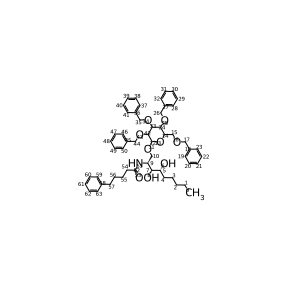 CCCCC[C@@H](O)[C@@H](O)[C@H](COC1OC(COCc2ccccc2)C(OCc2ccccc2)C(OCc2ccccc2)C1OCc1ccccc1)NC(=O)CCCCc1ccccc1